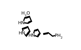 C=CCP.O.c1cc[nH]c1.c1cc[nH]c1.c1cc[nH]c1